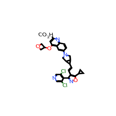 O=C(O)c1cc(OC2COC2)c2cc(N3CC4C(C=Cc5c(-c6c(Cl)cncc6Cl)noc5C5CC5)C4C3)ccc2n1